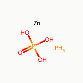 O=P(O)(O)O.P.[Zn]